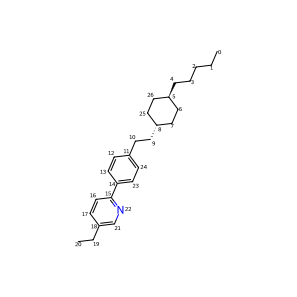 CCCCC[C@H]1CC[C@H](CCc2ccc(-c3ccc(CC)cn3)cc2)CC1